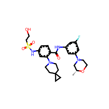 C[C@@H]1CN(c2cc(F)cc(NC(=O)c3ccc(NS(=O)(=O)CCO)cc3N3CCC4(CC3)CC4)c2)CCO1